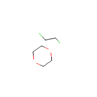 C1COCCO1.ClCCCl